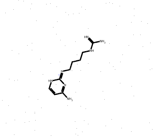 N=C(N)NCCCC/N=c1\nc(N)cc[nH]1